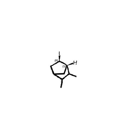 CC1C2C[C@@H](I)[C@@H](C2)C1C